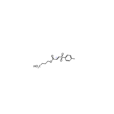 Cc1ccc(S(=O)(=O)/C=C/C(=O)OCCCC(=O)O)cc1